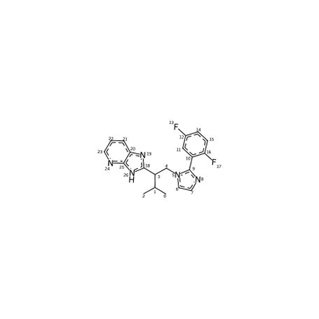 CC(C)C(Cn1ccnc1-c1cc(F)ccc1F)c1nc2cccnc2[nH]1